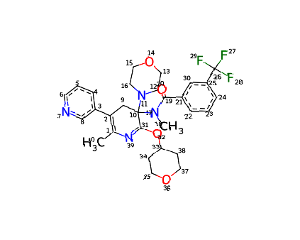 CC1=C(c2cccnc2)CC(N2CCOCC2)(N(C)C(=O)c2cccc(C(F)(F)F)c2)C(OC2CCOCC2)=N1